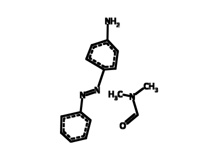 CN(C)C=O.Nc1ccc(N=Nc2ccccc2)cc1